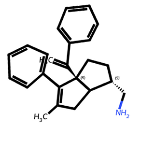 C=C(c1ccccc1)[C@@]12CC[C@H](CN)C1CC(C)=C2c1ccccc1